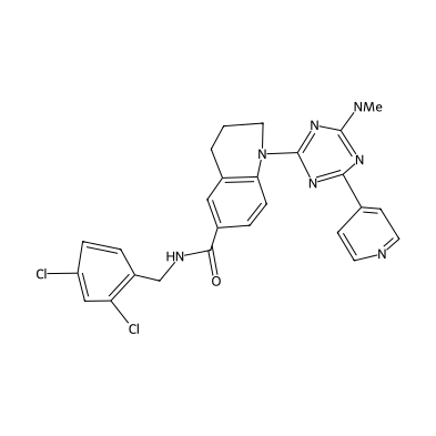 CNc1nc(-c2ccncc2)nc(N2CCCc3cc(C(=O)NCc4ccc(Cl)cc4Cl)ccc32)n1